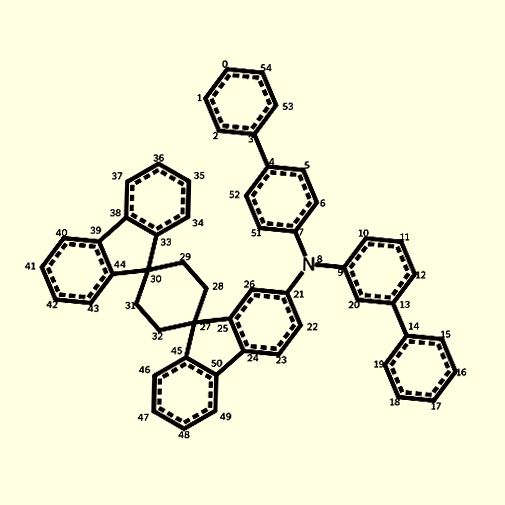 c1ccc(-c2ccc(N(c3cccc(-c4ccccc4)c3)c3ccc4c(c3)C3(CCC5(CC3)c3ccccc3-c3ccccc35)c3ccccc3-4)cc2)cc1